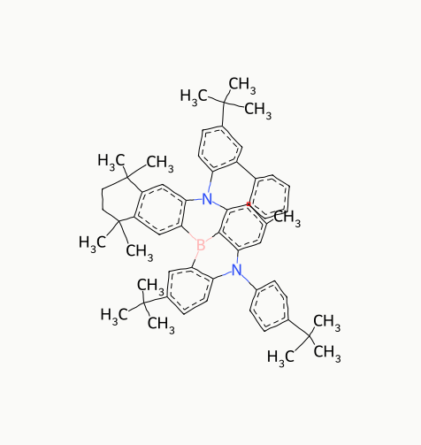 Cc1cc2c3c(c1)N(c1ccc(C(C)(C)C)cc1-c1ccccc1)c1cc4c(cc1B3c1cc(C(C)(C)C)ccc1N2c1ccc(C(C)(C)C)cc1)C(C)(C)CCC4(C)C